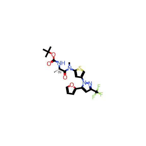 C[C@H](NC(=O)OC(C)(C)C)C(=O)N(C)c1cc(-n2nc(C(F)(F)F)cc2-c2ccco2)cs1